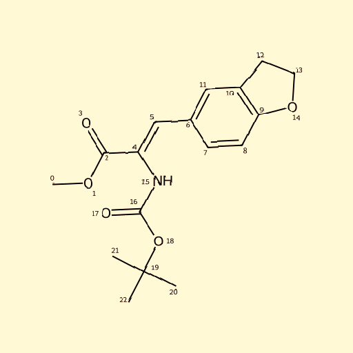 COC(=O)/C(=C/c1ccc2c(c1)CCO2)NC(=O)OC(C)(C)C